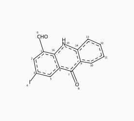 O=Cc1cc(I)cc2c(=O)c3ccccc3[nH]c12